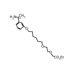 CCOC(=O)COCCOCCCCCCOc1cccc([C@H](C)N)c1